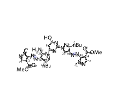 CCCCc1nn(-c2nc(O)cc(-n3nc(CCCC)c(/N=N/c4c(C(=O)OC)cnn4C)c3N)n2)cc1/N=N/c1c(C(=O)OC)cnn1C